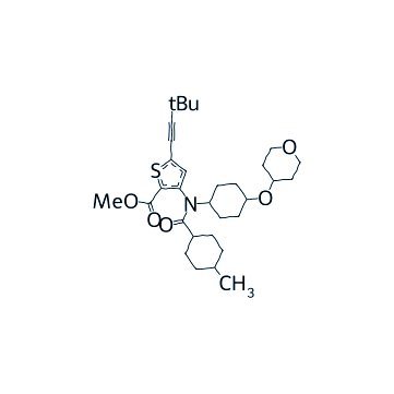 COC(=O)c1sc(C#CC(C)(C)C)cc1N(C(=O)C1CCC(C)CC1)C1CCC(OC2CCOCC2)CC1